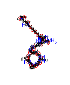 C/C=C(\C)[C@H]1OC(=O)[C@@H](C)NC(=O)[C@H](C(C)CC)NC(=O)CN(C)C(=O)[C@@H](Cc2ccccc2)N(C)C(=O)[C@H](C)NC(=O)[C@@H](CC(C)C)OC(=O)/C(C)=C/C[C@H](OC(=O)N(C)CCN(C)C(=O)OCc2ccc(NC(=O)[C@@H](CCCNC(N)=O)NC(=O)[C@H](NC(=O)CCOCCOCCOCCOCCNC(=O)CCCCCN3C(=O)C=CC3=O)C(C)C)cc2)[C@@H]1C